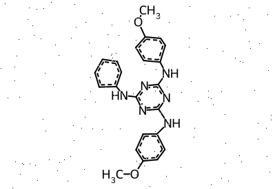 COc1ccc(Nc2nc(Nc3ccccc3)nc(Nc3ccc(OC)cc3)n2)cc1